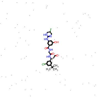 CC(C)(C)c1cc(Cl)cc([C@H](CC=O)NC(=O)CNC(=O)c2cc(O)cc(NC3=NCC(F)CN3)c2)c1